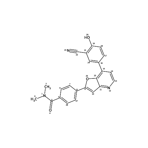 CN(C)C(=O)c1ccc(-c2cc3nccc(-c4ccc(O)c(C#N)c4)c3o2)cc1